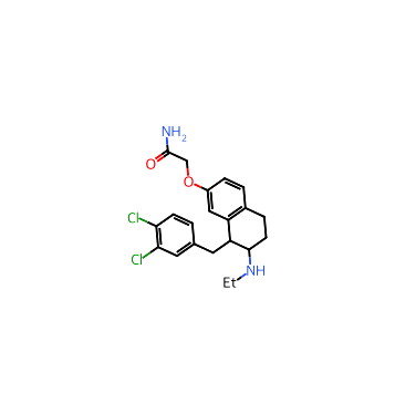 CCNC1CCc2ccc(OCC(N)=O)cc2C1Cc1ccc(Cl)c(Cl)c1